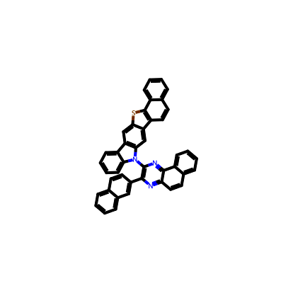 c1ccc2cc(-c3nc4ccc5ccccc5c4nc3-n3c4ccccc4c4cc5sc6c7ccccc7ccc6c5cc43)ccc2c1